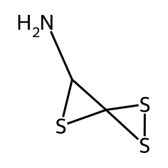 NC1SC12SS2